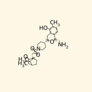 Cc1ccc2c(c1O)C[C@@H](C1CCN(S(=O)(=O)C[C@@]34CCC(CC3=O)C4(C)C)CC1)O[C@H]2CN